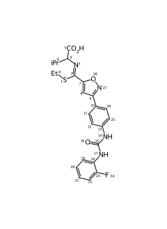 CCS/C(=N\C(C(=O)O)C(C)C)c1cc(-c2ccc(NC(=O)Nc3ccccc3F)cc2)no1